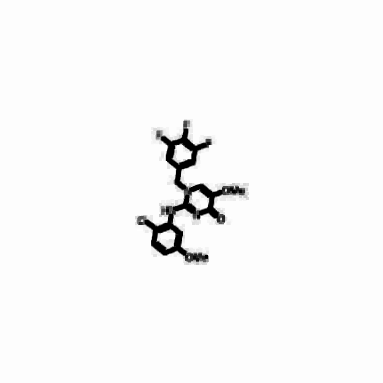 COc1ccc(Cl)c(Nc2nc(=O)c(OC)cn2Cc2cc(F)c(F)c(F)c2)c1